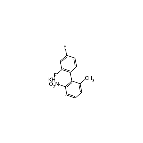 Cc1cc[c]c([N+](=O)[O-])c1-c1ccc(F)cc1F.[KH]